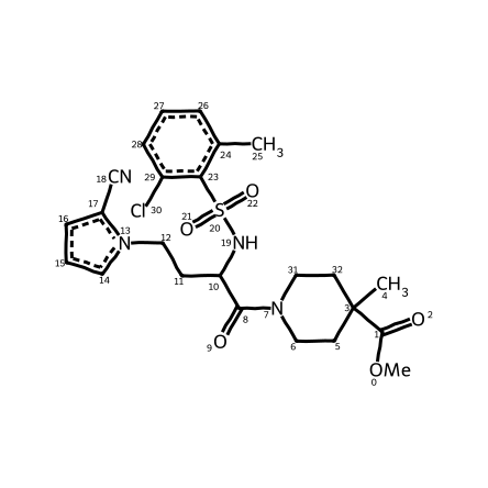 COC(=O)C1(C)CCN(C(=O)C(CCn2cccc2C#N)NS(=O)(=O)c2c(C)cccc2Cl)CC1